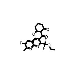 CCOC(F)(F)c1nc2nc(C)c(F)cc2cc1C(=O)C1C(=O)CCCC1=O